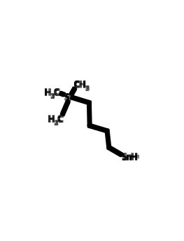 C[Si](C)(C)CCC[CH2][SnH]